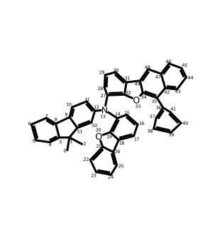 CC1(C)c2ccccc2-c2ccc(N(c3cccc4c3oc3ccccc34)c3cccc4c3oc3c(-c5ccccc5)c5ccccc5cc34)cc21